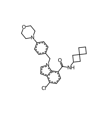 O=C(NC1CC2(CCC2)C1)c1ccc(Cl)c2ccn(Cc3ccc(N4CCOCC4)cc3)c12